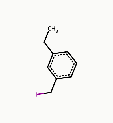 CCc1cccc(CI)c1